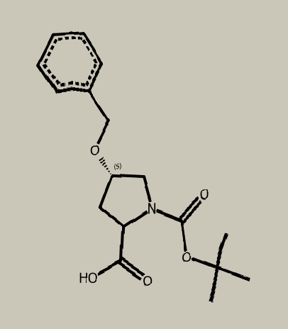 CC(C)(C)OC(=O)N1C[C@@H](OCc2ccccc2)CC1C(=O)O